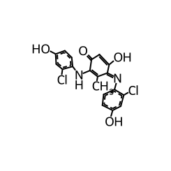 CC1=C(Nc2ccc(O)cc2Cl)C(=O)C=C(O)/C1=N/c1ccc(O)cc1Cl